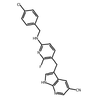 N#Cc1cnc2[nH]cc(Cc3ccc(NCc4ccc(Cl)cc4)nc3F)c2c1